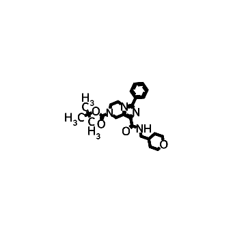 CC(C)(C)OC(=O)N1CCn2c(-c3ccccc3)nc(C(=O)NCC3CCOCC3)c2C1